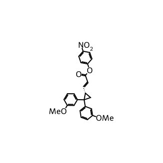 COc1cccc(C2(c3cccc(OC)c3)C[C@H]2C=CC(=O)Oc2ccc([N+](=O)[O-])cc2)c1